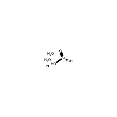 O.O.O=[Se](O)O.[Pt]